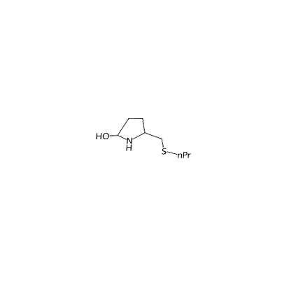 CCCSCC1CCC(O)N1